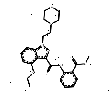 CCOc1cccc2c1c(C(=O)Nc1ccccc1C(=O)OC)nn2CCN1CCOCC1